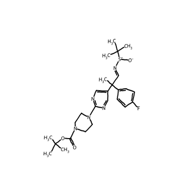 CC(C)(C)OC(=O)N1CCN(c2ncc(C(C)(C=N[S+]([O-])C(C)(C)C)c3ccc(F)cc3)cn2)CC1